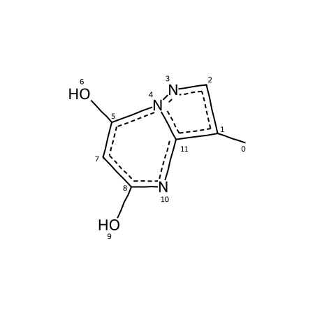 Cc1cnn2c(O)cc(O)nc12